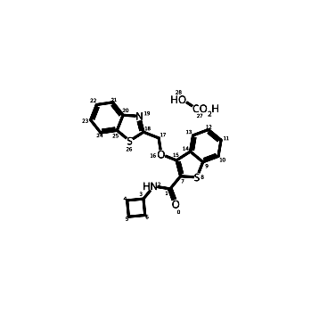 O=C(NC1CCC1)c1sc2ccccc2c1OCc1nc2ccccc2s1.O=C(O)O